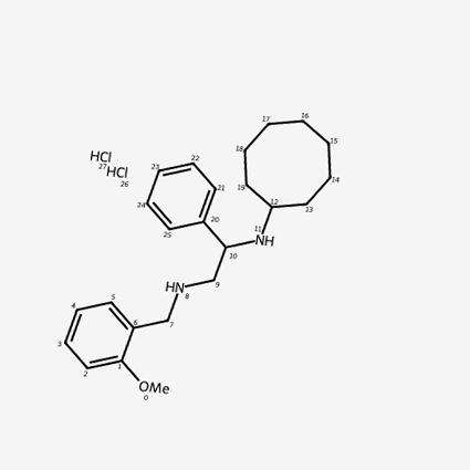 COc1ccccc1CNCC(NC1CCCCCCC1)c1ccccc1.Cl.Cl